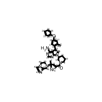 CC(C)(C=C(C#N)C(=O)N1CCC[C@@H](n2nc(-c3ccc(Oc4ccccc4)cc3F)c3c(N)ncnc32)C1)N1CCn2ccnc2C1